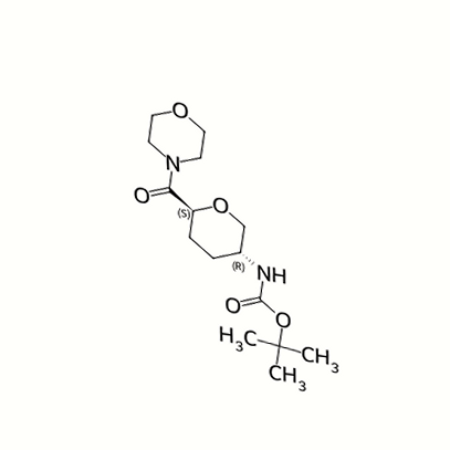 CC(C)(C)OC(=O)N[C@@H]1CC[C@@H](C(=O)N2CCOCC2)OC1